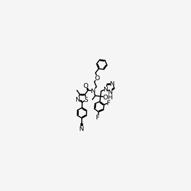 Cc1nc(-c2ccc(C#N)cc2)sc1C(=O)N(CCOCc1ccccc1)C(C)C(O)(Cn1cncn1)c1ccc(F)cc1F